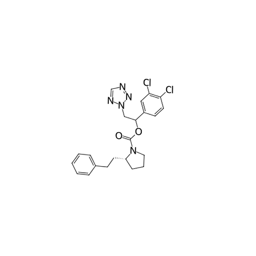 O=C(OC(Cn1ncnn1)c1ccc(Cl)c(Cl)c1)N1CCC[C@@H]1CCc1ccccc1